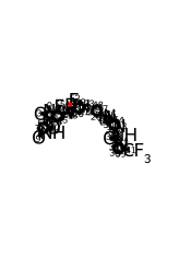 Cn1c(=O)n(C2CCC(=O)NC2=O)c2ccc(N3CC4(CCN(C[C@H]5CC[C@H](n6cc7cc(NC(=O)c8cccc(C(F)(F)F)n8)ncc7n6)CC5)CC4(F)F)C3)c(F)c21